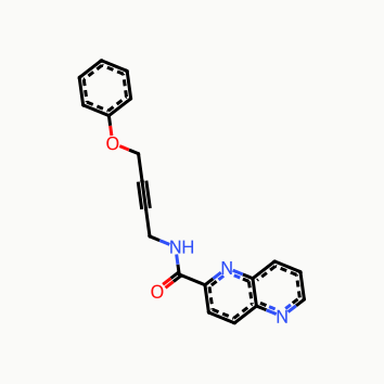 O=C(NCC#CCOc1ccccc1)c1ccc2ncccc2n1